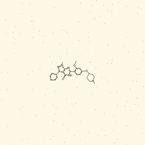 COc1cc(OC2CCN(C)CC2)ccc1-c1nc2c(c(-c3ccccc3)nn2C)c(=O)[nH]1